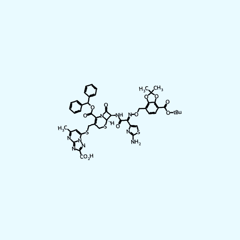 Cc1cc(SCC2=C(C(=O)OC(c3ccccc3)c3ccccc3)N3C(=O)[C@@H](NC(=O)C(=NOCc4ccc(C(=O)OC(C)(C)C)c5c4OC(C)(C)O5)c4csc(N)n4)[C@H]3SC2)n2nc(C(=O)O)nc2n1